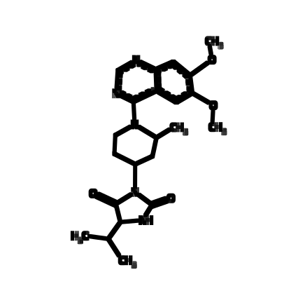 COc1cc2ncnc(N3CCC(N4C(=O)NC(C(C)C)C4=O)CC3C)c2cc1OC